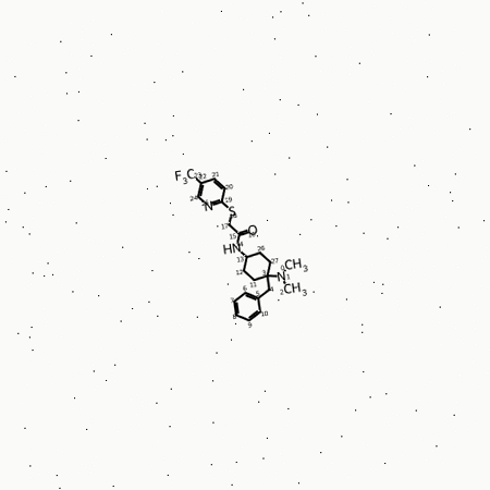 CN(C)C1(Cc2ccccc2)CCC(NC(=O)CSc2ccc(C(F)(F)F)cn2)CC1